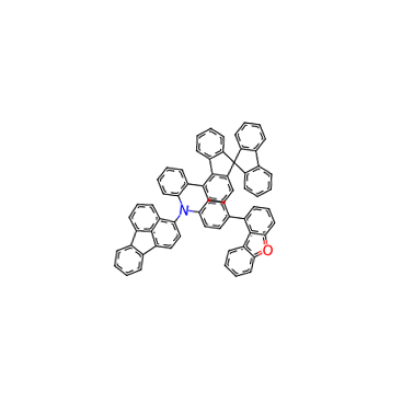 c1ccc2c(c1)-c1cccc3c(N(c4ccc(-c5cccc6oc7ccccc7c56)cc4)c4ccccc4-c4cccc5c4-c4ccccc4C54c5ccccc5-c5ccccc54)ccc-2c13